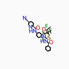 CC(F)(F)C1OC[C@]2(c3cc(NC(=O)c4ccc(C#N)cn4)ccc3F)N=C(NC(=O)c3ccccc3)SC[C@H]12